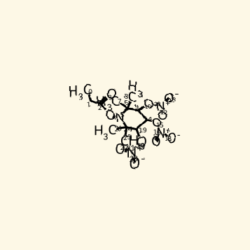 CCC(=O)ON1C(C)(C)C(O[N+](=O)[O-])C(O[N+](=O)[O-])C(O[N+](=O)[O-])C1(C)C